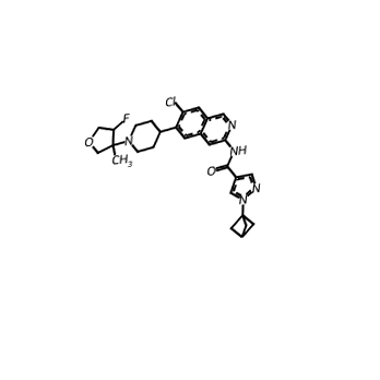 CC1(N2CCC(c3cc4cc(NC(=O)c5cnn(C67CC(C6)C7)c5)ncc4cc3Cl)CC2)COCC1F